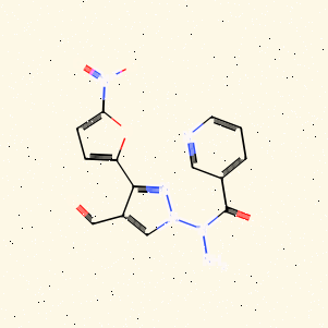 NN(C(=O)c1cccnc1)n1cc(C=O)c(-c2ccc([N+](=O)[O-])o2)n1